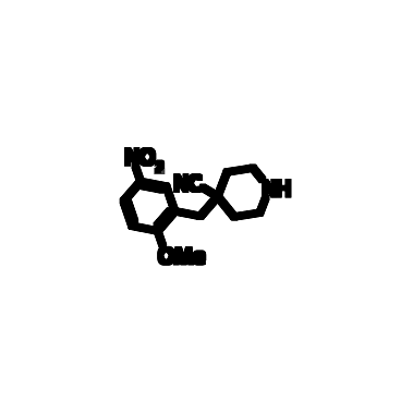 COc1ccc([N+](=O)[O-])cc1CC1(C#N)CCNCC1